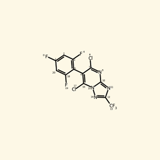 Fc1cc(F)c(-c2c(Cl)nc3nc(C(F)(F)F)nn3c2Cl)c(F)c1